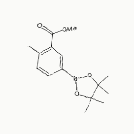 COC(=O)c1cc(B2OC(C)(C)C(C)(C)O2)ccc1C